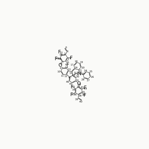 C=Cc1c(F)c(F)c(Oc2ccc3c(c2)C(=C2C=CC=CC2Nc2ccccc2)c2cc(Oc4c(F)c(F)c(C=C)c(F)c4F)ccc2-3)c(F)c1F